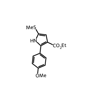 CCOC(=O)c1cc(SC)[nH]c1-c1ccc(OC)cc1